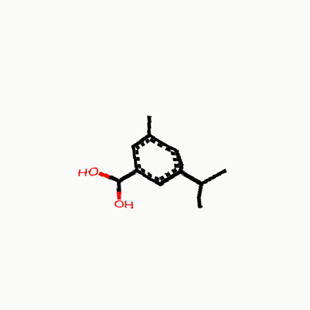 Cc1cc(C(C)C)cc(C(O)O)c1